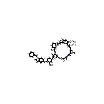 CCC1/C=C(\C)C(O)C(C)CC(OC)C2OC(O)(C(=O)C(=O)N3CCCCC3C(=O)OC(C(C)=CC3CCC(Oc4ccc5c(ccn5Cc5ccccc5)c4)C(O)C3)C(C)CCC1=O)C(C)CC2OC